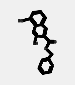 O=C(OCc1ccccn1)c1cc2cccc(O)c2cc1O